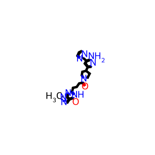 Cn1ncc2c(=O)[nH]c(CCCC(=O)N3CCC(c4cnc(N)c(-c5ncccn5)c4)CC3)nc21